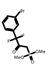 COP(=O)(CC(=O)C(F)(F)c1cccc(C(C)C)c1)OC